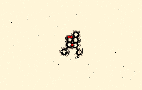 CC1C=NC(C2C=CC3=C(C2)SC2=CCCC=C2C32C3C=CC=CC3SC3C=C(c4ccccn4)C=CC32)C1